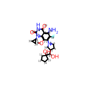 COc1c(N2CCC(C(O)C3(O)CCCC3)C2)c(F)c(N)c2c(=O)[nH]c(=O)n(C3CC3)c12